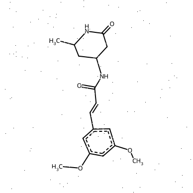 COc1cc(C=CC(=O)NC2CC(=O)NC(C)C2)cc(OC)c1